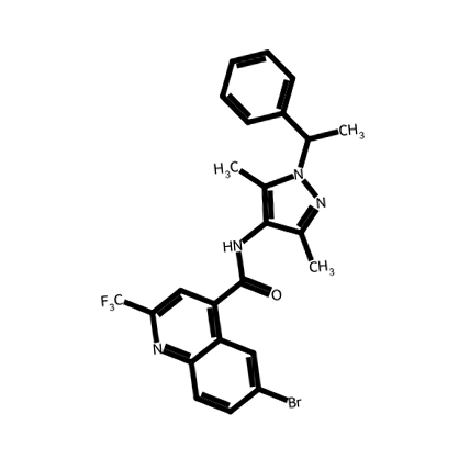 Cc1nn(C(C)c2ccccc2)c(C)c1NC(=O)c1cc(C(F)(F)F)nc2ccc(Br)cc12